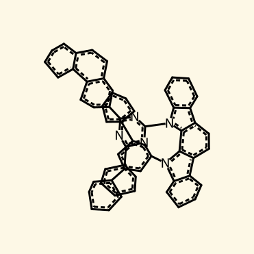 c1ccc(-c2cc(-c3ccccc3)cc(-n3c4ccccc4c4ccc5c6ccccc6n(-c6nc(-c7ccccc7)nc(-c7ccc8c(ccc9ccccc98)c7)n6)c5c43)c2)cc1